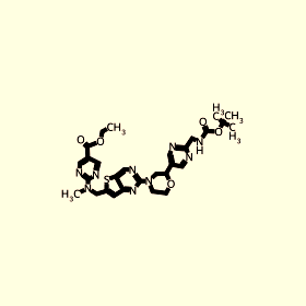 CCOC(=O)c1cnc(N(C)Cc2cc3nc(N4CCOC(c5cnc(CNC(=O)OC(C)(C)C)nc5)C4)ncc3s2)nc1